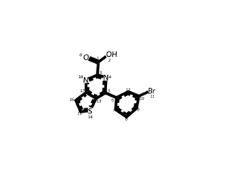 O=C(O)c1nc(-c2cccc(Br)c2)c2sccc2n1